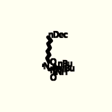 CCCCCCCCCCCCCCCCCCN(C)CN1C(=O)NC(CCCC)(CCCC)C1=O